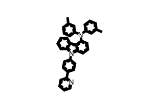 Cc1cccc(N(c2cccc(C)c2)c2cccc3c2c2ccccc2n3-c2ccc(-c3ccccn3)cc2)c1